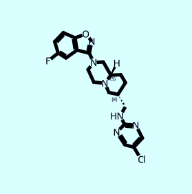 Fc1ccc2onc(N3CCN4C[C@@H](CNc5ncc(Cl)cn5)CC[C@H]4C3)c2c1